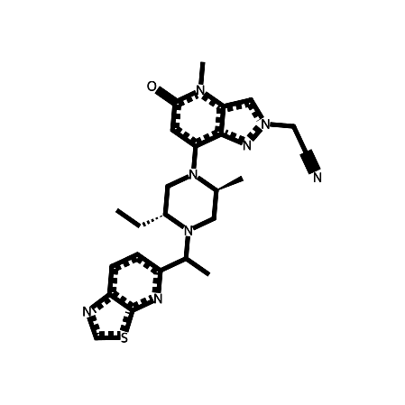 CC[C@@H]1CN(c2cc(=O)n(C)c3cn(CC#N)nc23)[C@@H](C)CN1C(C)c1ccc2ncsc2n1